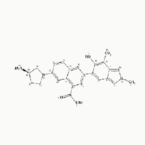 CNC(=O)c1nc(-c2cc3cn(C)nc3c(C)c2O)nc2ccc(N3CC[C@@H](NC)C3)cc12